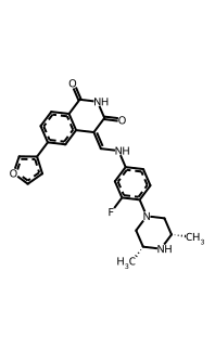 C[C@@H]1CN(c2ccc(NC=C3C(=O)NC(=O)c4ccc(-c5ccoc5)cc43)cc2F)C[C@H](C)N1